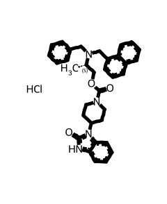 C[C@@H](COC(=O)N1CCC(n2c(=O)[nH]c3ccccc32)CC1)N(Cc1ccccc1)Cc1cccc2ccccc12.Cl